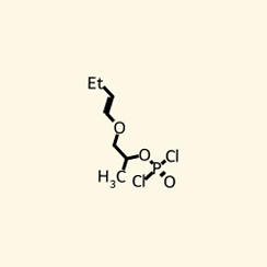 CCC=COCC(C)OP(=O)(Cl)Cl